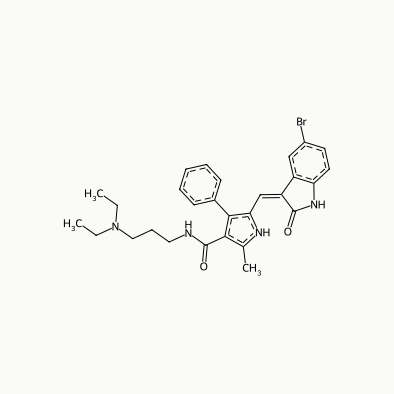 CCN(CC)CCCNC(=O)c1c(C)[nH]c(C=C2C(=O)Nc3ccc(Br)cc32)c1-c1ccccc1